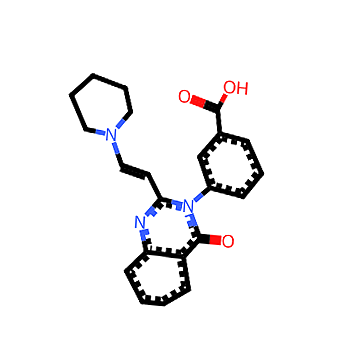 O=C(O)c1cccc(-n2c(/C=C/N3CCCCC3)nc3ccccc3c2=O)c1